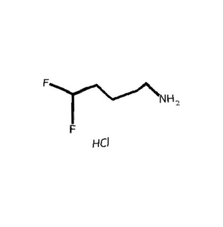 Cl.NCCCC(F)F